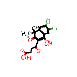 CC1(C)C(=O)C(C(=O)CCC(=O)O)=C(O)c2cc(Cl)c(Cl)cc21